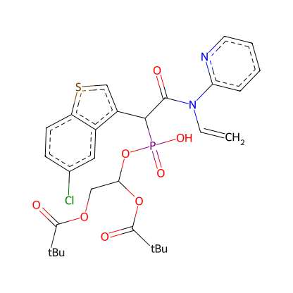 C=CN(C(=O)C(c1csc2ccc(Cl)cc12)P(=O)(O)OC(COC(=O)C(C)(C)C)OC(=O)C(C)(C)C)c1ccccn1